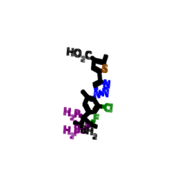 BC(C)(P)C(P)(c1cc(C)c(-n2cc(-c3cc(C(=O)O)c(C)s3)nn2)c(Cl)c1)C(C)(F)P